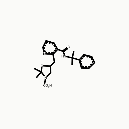 CC(C)(NC(=O)c1cccnc1CC1CN(C(=O)O)C(C)(C)O1)c1ccccc1